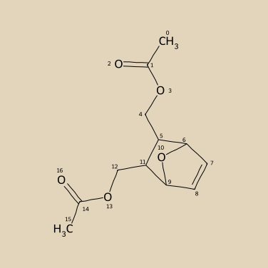 CC(=O)OCC1C2C=CC(O2)C1COC(C)=O